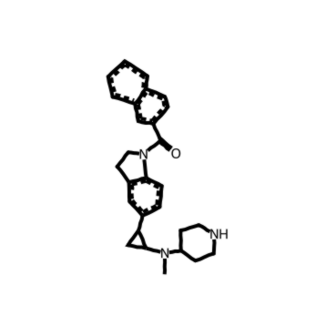 CN(C1CCNCC1)C1CC1c1ccc2c(c1)CCN2C(=O)c1ccc2ccccc2c1